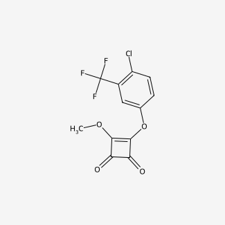 COc1c(Oc2ccc(Cl)c(C(F)(F)F)c2)c(=O)c1=O